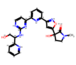 CN1CCC(O)(c2cc(-c3cccc(-c4ccnc(NC(CO)c5ccccn5)n4)n3)no2)C1=O